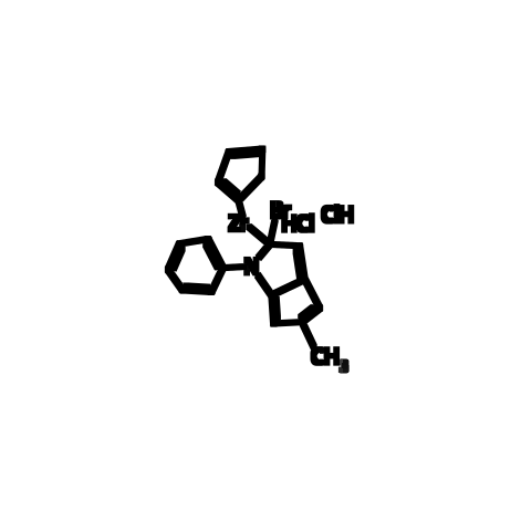 CC1=CC2=C[C](Br)([Zr][C]3=CC=CC3)N(c3ccccc3)C2=C1.Cl.Cl